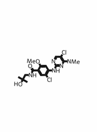 CNc1nc(Nc2cc(OC)c(C(=O)NCC(C)(C)O)cc2Cl)ncc1Cl